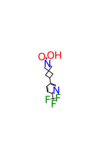 O=C(O)N1CC2(CC(c3ccc(C(F)(F)F)nc3)C2)C1